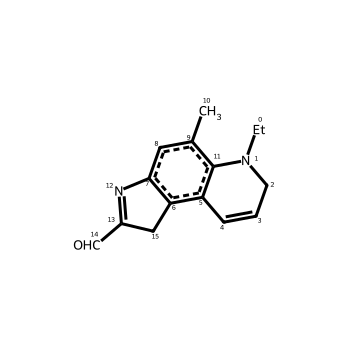 CCN1CC=Cc2c3c(cc(C)c21)N=C(C=O)C3